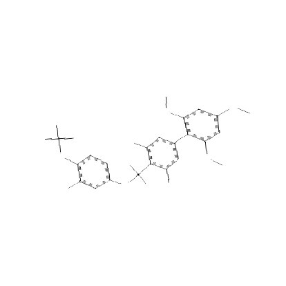 COc1cc(OC)c(-c2cc(F)c(C(F)(F)Oc3ccc(OC(F)(F)F)c(F)c3)c(F)c2)c(OC)c1